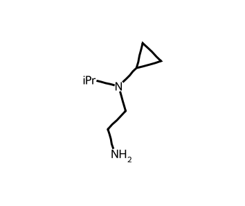 CC(C)N(CCN)C1CC1